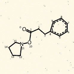 O=C(CCc1ccccc1)ON1CCCC1